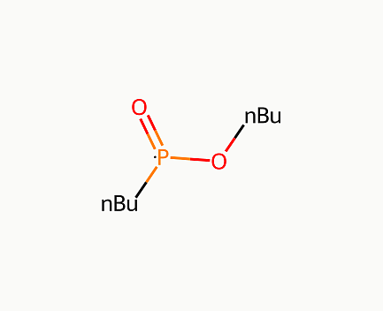 CCCCO[P](=O)CCCC